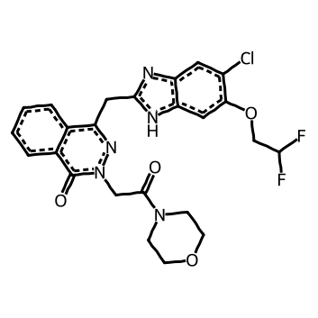 O=C(Cn1nc(Cc2nc3cc(Cl)c(OCC(F)F)cc3[nH]2)c2ccccc2c1=O)N1CCOCC1